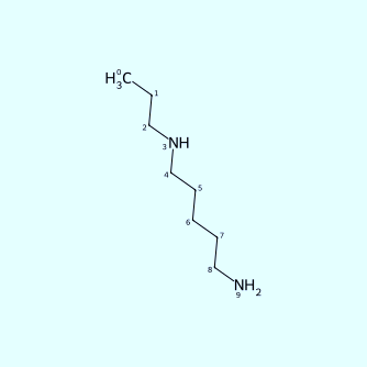 CCCNCCCCCN